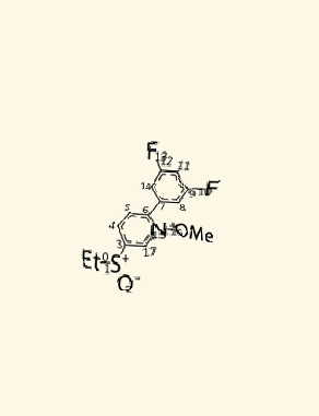 CC[S+]([O-])c1ccc(-c2cc(F)cc(F)c2)[n+](OC)c1